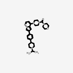 CC(C)N1CCC(c2ccc(-c3cc4c(N5CCN(C(=O)N6CCOCC6)CC5)ccnn4c3)cc2)CC1